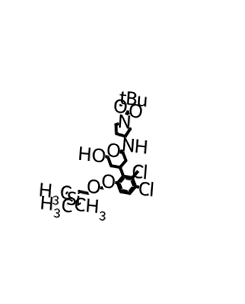 CC(C)(C)OC(=O)N1CCC(NC(=O)CC(CCO)c2c(OCOCC[Si](C)(C)C)ccc(Cl)c2Cl)C1